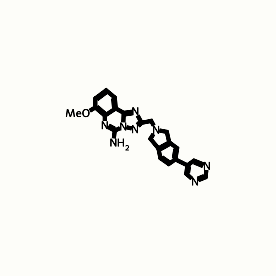 COc1cccc2c1nc(N)n1nc(CN3Cc4ccc(-c5cncnc5)cc4C3)nc21